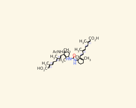 CC(=O)N[C@]1(C)CCC(NC(=O)N[C@]2(C)CCCC(C)=C2/C=C/C(C)=C/C=C/C(C)=C/C(=O)O)C(C)=C1/C=C/C(C)=C/C=C/C(C)=C/C(=O)O